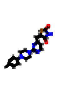 Cc1ccc(N2CCN(c3nccc(C=C4SC(=O)NC4=O)n3)CC2)cc1